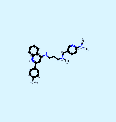 COc1ccc(-c2cc(NCCCN(C)Cc3ccc(N(C)C)nc3)c3ccccc3n2)cc1